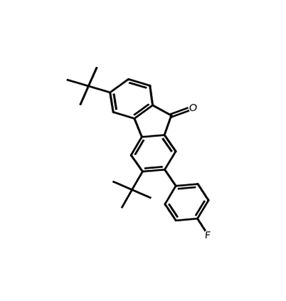 CC(C)(C)c1ccc2c(c1)-c1cc(C(C)(C)C)c(-c3ccc(F)cc3)cc1C2=O